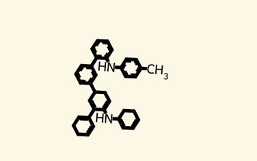 Cc1ccc(Nc2ccccc2-c2cccc(C3C=C(C4=CCCC=C4)C(NC4=CC=CCC4)=CC3)c2)cc1